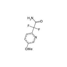 COc1ccc(C(F)(F)C(N)=O)nc1